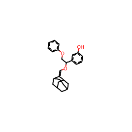 Oc1cccc(C(COc2ccccc2)OC=C2C3CC4CC(C3)CC2C4)c1